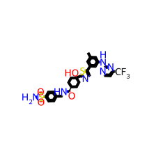 Cc1cc(Nc2nccc(C(F)(F)F)n2)cc(-c2cnc([C@]3(O)CC[C@@H](C(=O)NCc4ccc(S(N)(=O)=O)cc4)CC3)s2)c1